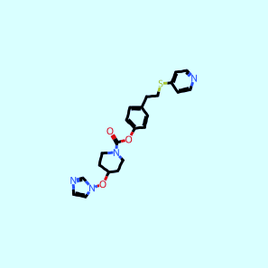 O=C(Oc1ccc(CCSc2ccncc2)cc1)N1CCC(On2ccnc2)CC1